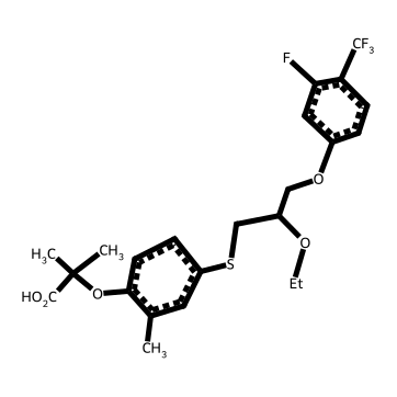 CCOC(COc1ccc(C(F)(F)F)c(F)c1)CSc1ccc(OC(C)(C)C(=O)O)c(C)c1